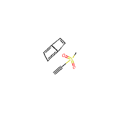 C#CS(C)(=O)=O.c1cc2ccc1-2